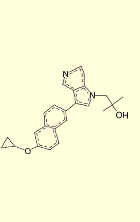 CC(C)(O)Cn1cc(-c2ccc3cc(OC4CC4)ccc3c2)c2cnccc21